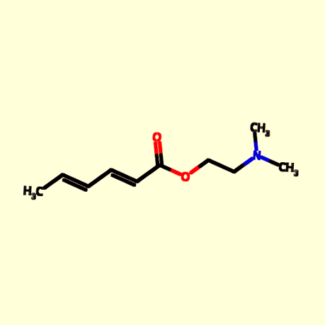 CC=CC=CC(=O)OCCN(C)C